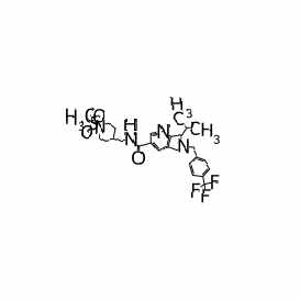 CC(C)C1c2ncc(C(=O)NCC3CCN(S(C)(=O)=O)CC3)cc2CN1Cc1ccc(C(F)(F)F)cc1